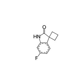 O=C1Nc2cc(F)ccc2C12CCC2